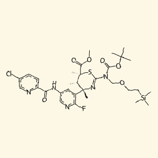 COC(=O)[C@@]1(C)SC(N(COCC[Si](C)(C)C)C(=O)OC(C)(C)C)=N[C@](C)(c2cc(NC(=O)c3ccc(Cl)cn3)cnc2F)[C@@H]1C